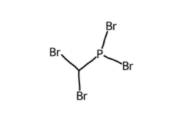 BrC(Br)P(Br)Br